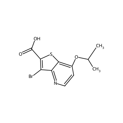 CC(C)Oc1ccnc2c(Br)c(C(=O)O)sc12